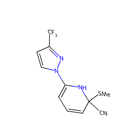 CSC1(C#N)C=CC=C(n2ccc(C(F)(F)F)n2)N1